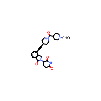 O=CN1CCC(C(=O)N2CCC(C#Cc3cccc4c3CN(C3CCC(=O)NC3=O)C4=O)CC2)CC1